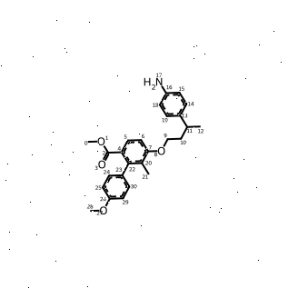 COC(=O)c1ccc(OCCC(C)c2ccc(N)cc2)c(C)c1-c1ccc(OC)cc1